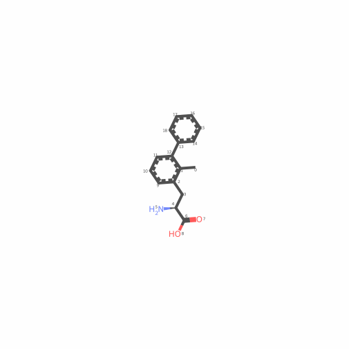 Cc1c(C[C@H](N)C(=O)O)cccc1-c1ccccc1